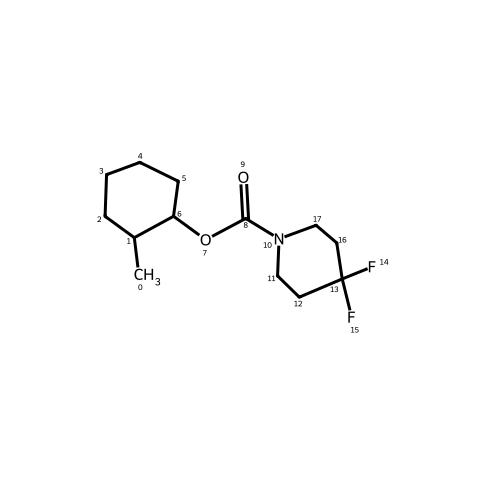 CC1CCCCC1OC(=O)N1CCC(F)(F)CC1